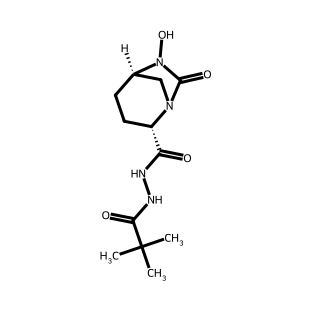 CC(C)(C)C(=O)NNC(=O)[C@@H]1CC[C@@H]2CN1C(=O)N2O